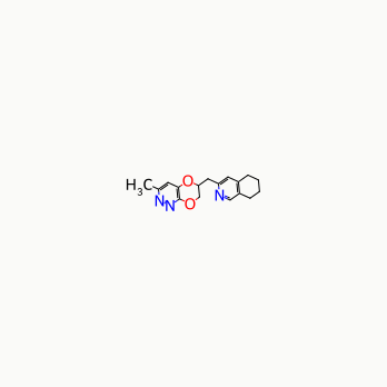 Cc1cc2c(nn1)OCC(Cc1cc3c(cn1)CCCC3)O2